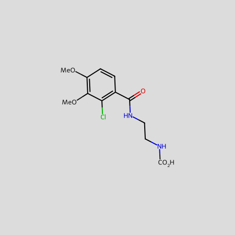 COc1ccc(C(=O)NCCNC(=O)O)c(Cl)c1OC